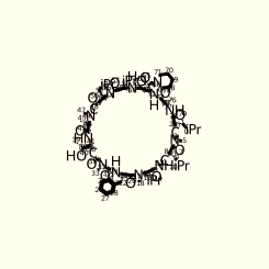 CC(C)C[C@@H]1CN(C)C(=O)[C@H](CC(C)C)CNC(=O)[C@H](C(C)C)N(C)C(=O)[C@H](Cc2ccccc2)NC(=O)N(C)C(=O)CC([C@@H](C)O)NC(=O)[C@H](C)N(C)CC(=O)[C@@H](CC(C)C)N(C)C(=O)[C@@H](C(C)C)NC(=O)[C@@H](C(=O)N2CCCCC2)NC(=O)[C@H](C)NC1=O